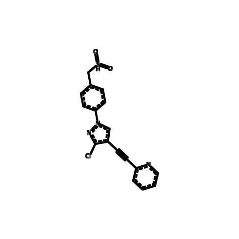 O=[SH](=O)Cc1ccc(-n2cc(C#Cc3ccccn3)c(Cl)n2)cc1